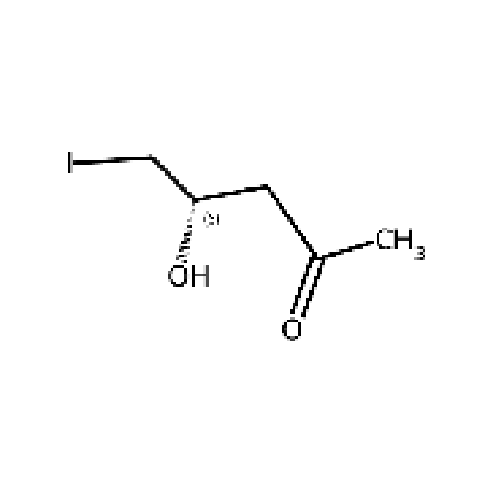 CC(=O)C[C@H](O)CI